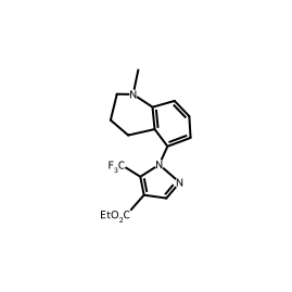 CCOC(=O)c1cnn(-c2cccc3c2CCCN3C)c1C(F)(F)F